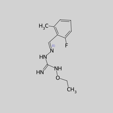 CCONC(=N)N/N=C/c1c(C)cccc1F